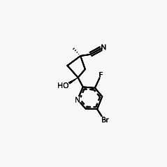 C[C@]1(C#N)C[C@](O)(c2ncc(Br)cc2F)C1